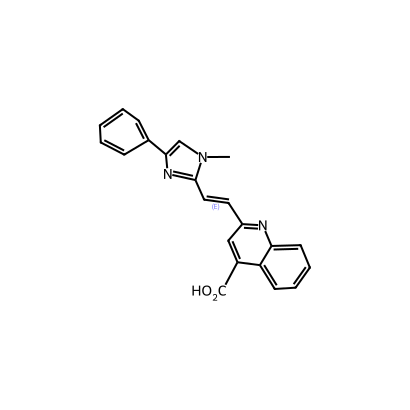 Cn1cc(-c2ccccc2)nc1/C=C/c1cc(C(=O)O)c2ccccc2n1